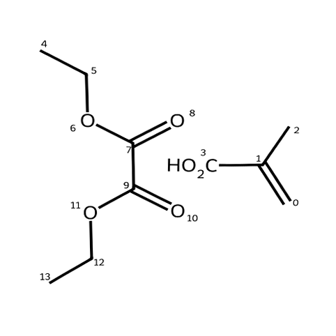 C=C(C)C(=O)O.CCOC(=O)C(=O)OCC